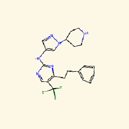 FC(F)(F)c1cnc(Nc2cnn(C3CCNCC3)c2)nc1CCc1ccccc1